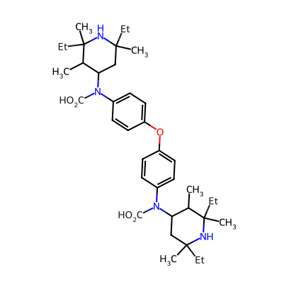 CCC1(C)CC(N(C(=O)O)c2ccc(Oc3ccc(N(C(=O)O)C4CC(C)(CC)NC(C)(CC)C4C)cc3)cc2)C(C)C(C)(CC)N1